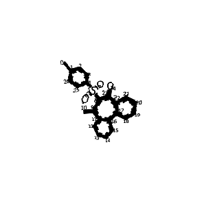 Cc1ccc(S(=O)(=O)c2c(C)c3ccccc3c3ccccc3c2=O)cc1